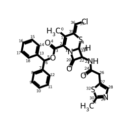 CC1=C(C(=O)OC(c2ccccc2)c2ccccc2)N2C(=O)C(NC(=O)Cc3cnc(C)s3)[C@@H]2SC1=CCl